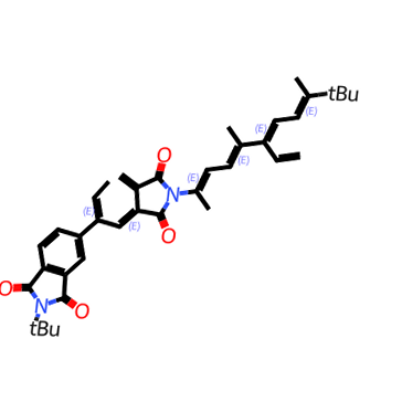 C=CC(=C\C=C(/C)C(C)(C)C)/C(C)=C/C=C(\C)N1C(=O)C(=C)/C(=C\C(=C/C)c2ccc3c(c2)C(=O)N(C(C)(C)C)C3=O)C1=O